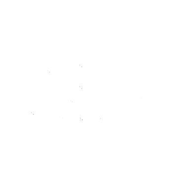 C=CC(=O)N1CCN(c2nc(OCC3CCCN3C)nc3nc(-c4cccc5c4C4CC4C5)c(Cl)cc23)C[C@@H]1CC#N